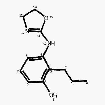 CCCc1c(O)cccc1NC1=NCCO1